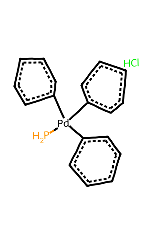 Cl.[PH2][Pd]([c]1ccccc1)([c]1ccccc1)[c]1ccccc1